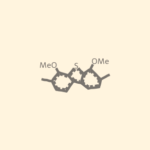 COc1c(C)ccc2c1sc1c(OC)c(C)ccc12